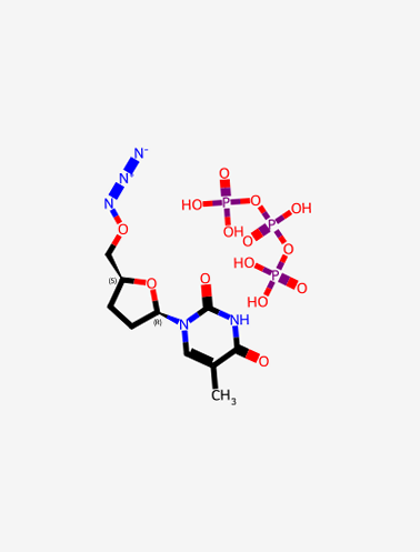 Cc1cn([C@H]2CC[C@@H](CON=[N+]=[N-])O2)c(=O)[nH]c1=O.O=P(O)(O)OP(=O)(O)OP(=O)(O)O